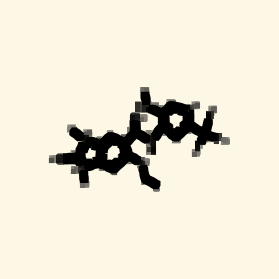 CCSc1cc2c(cc1C(=O)Nc1cc(C(F)(F)F)ncc1NC)n(C)c(=O)n2C